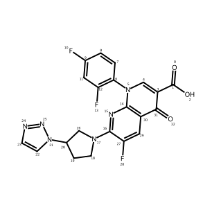 O=C(O)c1cn(-c2ccc(F)cc2F)c2nc(N3CCC(n4ccnn4)C3)c(F)cc2c1=O